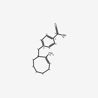 C/C1=C/CCCCCC1Cc1ccc(C(=O)O)cc1